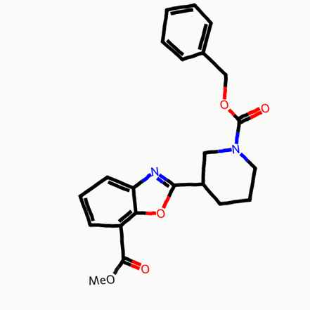 COC(=O)c1cccc2nc(C3CCCN(C(=O)OCc4ccccc4)C3)oc12